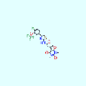 Cn1c(=O)c2c(CC(=O)Nc3nc(-c4ccc(F)c(OC(F)(F)F)c4)cs3)coc2n(C)c1=O